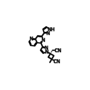 C[C@]1(C#N)C[C@@](CC#N)(n2ccc(-c3nc(-c4cc[nH]n4)cc4ncccc34)n2)C1